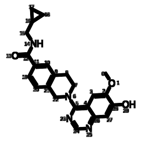 COc1cc2c(N3CCc4cc(C(=O)NCC5CC5)ccc4C3)ncnc2cc1O